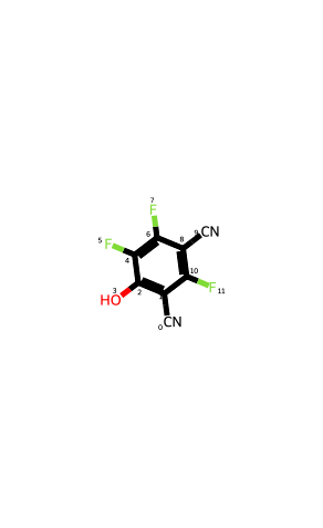 N#Cc1c(O)c(F)c(F)c(C#N)c1F